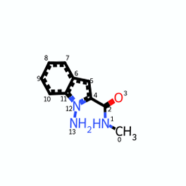 CNC(=O)c1cc2ccccc2n1N